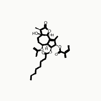 C=C(C)O[C@H]1CC[C@]2(O)[C@@H](C)C(=O)O[C@H]2C2=C(C)[C@H](OC(=O)/C(C)=C\C)[C@@H](OC(=O)CCCCCCC)[C@H]21